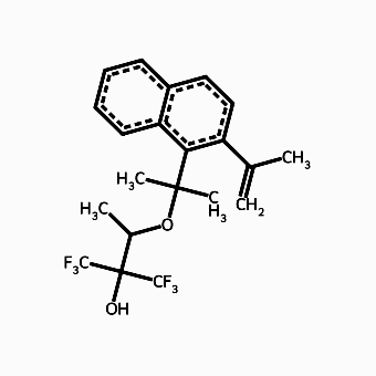 C=C(C)c1ccc2ccccc2c1C(C)(C)OC(C)C(O)(C(F)(F)F)C(F)(F)F